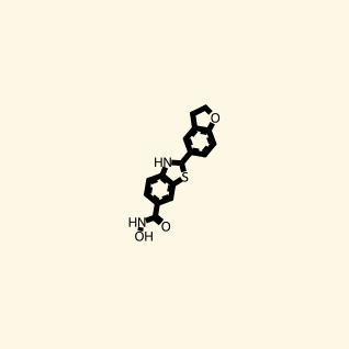 O=C(NO)c1ccc2c(c1)SC(c1ccc3c(c1)CCO3)N2